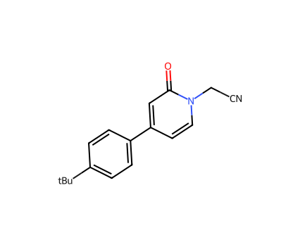 CC(C)(C)c1ccc(-c2ccn(CC#N)c(=O)c2)cc1